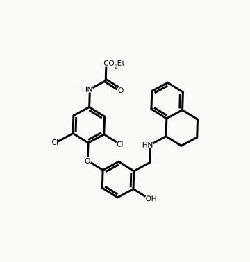 CCOC(=O)C(=O)Nc1cc(Cl)c(Oc2ccc(O)c(CNC3CCCc4ccccc43)c2)c(Cl)c1